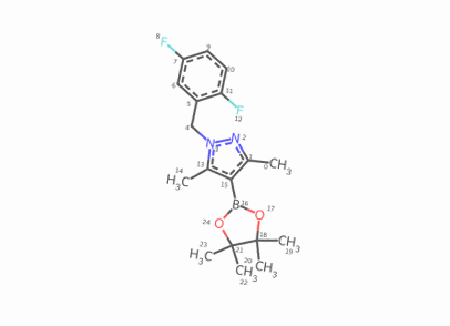 Cc1nn(Cc2cc(F)ccc2F)c(C)c1B1OC(C)(C)C(C)(C)O1